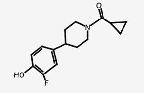 O=C(C1CC1)N1CCC(c2ccc(O)c(F)c2)CC1